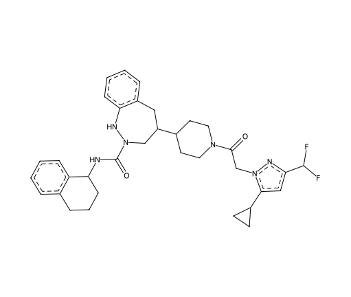 O=C(Cn1nc(C(F)F)cc1C1CC1)N1CCC(C2Cc3ccccc3NN(C(=O)NC3CCCc4ccccc43)C2)CC1